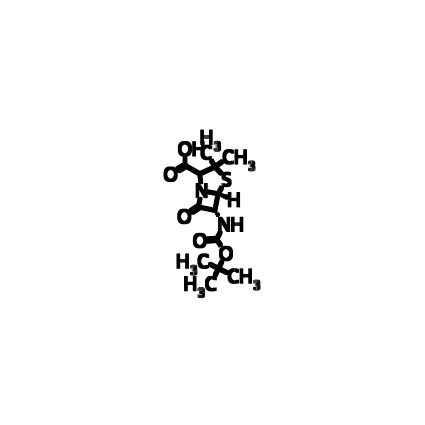 CC(C)(C)OC(=O)N[C@@H]1C(=O)N2C(C(=O)O)C(C)(C)S[C@H]12